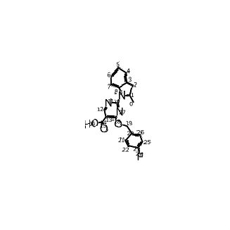 CC1Cc2ccccc2N1c1ncc(C(=O)O)c(OCc2ccc(F)cc2)n1